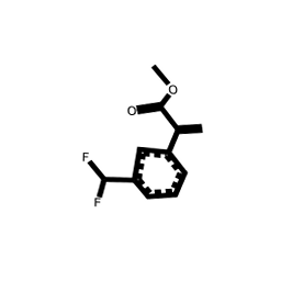 C=C(C(=O)OC)c1cccc(C(F)F)c1